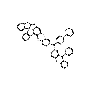 C=C1Cc2ccccc2C12c1ccccc1-c1c2ccc2c1Oc1ccc(N(C3=CCC(C4=CC=CCC4)C=C3)c3ccc(C)c(C(c4ccccc4)c4ccccc4)c3)cc1O2